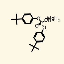 CC(C)(C)c1ccc(OP(=O)(O)Oc2ccc(C(C)(C)C)cc2)cc1.[MgH2]